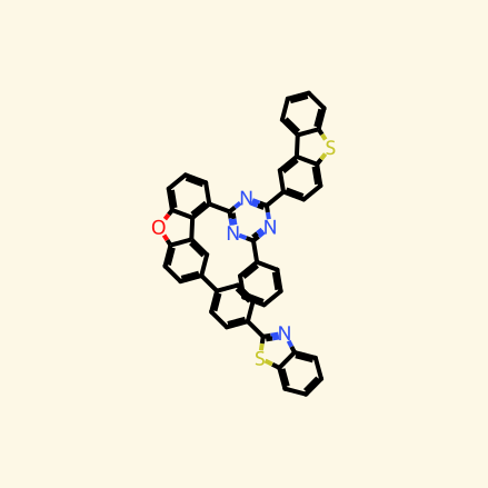 c1ccc(-c2nc(-c3ccc4sc5ccccc5c4c3)nc(-c3cccc4oc5ccc(-c6ccc(-c7nc8ccccc8s7)cc6)cc5c34)n2)cc1